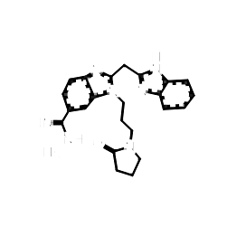 N=C(NO)c1ccc2nc(Cc3nc4ccccc4[nH]3)n(CCCN3CCCC3=O)c2c1